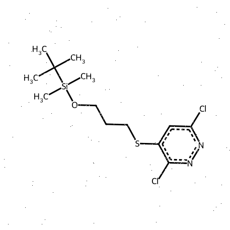 CC(C)(C)[Si](C)(C)OCCCSc1cc(Cl)nnc1Cl